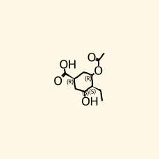 CC[C@H]1[C@@H](O)C[C@@H](C(=O)O)C[C@H]1OC(C)=O